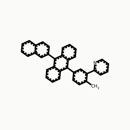 Cc1ccc(-c2c3ccccc3c(-c3ccc4ccccc4c3)c3ccccc23)cc1-c1ccccn1